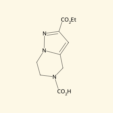 CCOC(=O)c1cc2n(n1)CCN(C(=O)O)C2